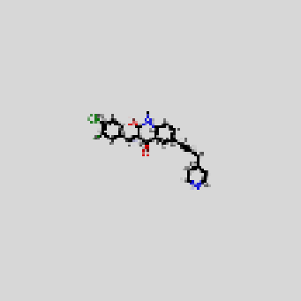 CN1C(=O)/C(=C\c2ccc(Cl)c(F)c2)C(=O)c2cc(C#CCc3ccncc3)ccc21